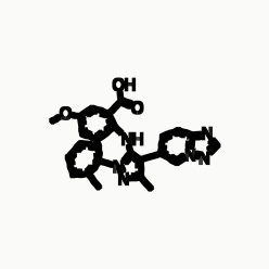 COc1cc(C)c(Nc2c(-c3ccc4ncnn4c3)c(C)nn2-c2ccccc2C)c(C(=O)O)c1